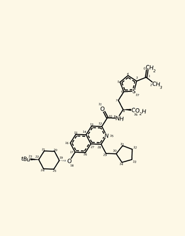 C=C(C)c1ccc(C[C@H](NC(=O)c2cc3ccc(O[C@H]4CC[C@H](C(C)(C)C)CC4)cc3c(CC3CCCC3)n2)C(=O)O)s1